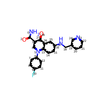 NC(=O)c1cn(-c2ccc(F)cc2)c2ccc(NCc3cccnc3)cc2c1=O